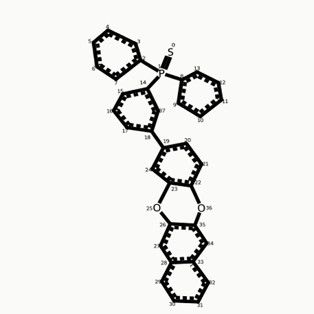 S=P(c1ccccc1)(c1ccccc1)c1cccc(-c2ccc3c(c2)Oc2cc4ccccc4cc2O3)c1